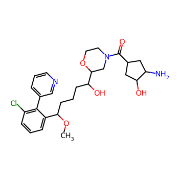 COC(CCCC(O)C1CN(C(=O)C2CC(N)C(O)C2)CCO1)c1cccc(Cl)c1-c1cccnc1